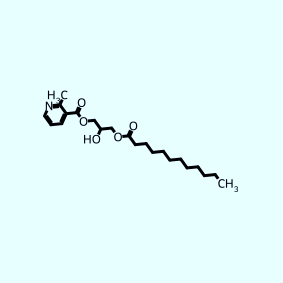 CCCCCCCCCCCC(=O)OCC(O)COC(=O)c1cccnc1C